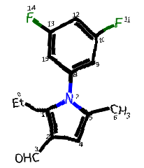 CCc1c(C=O)cc(C)n1-c1cc(F)cc(F)c1